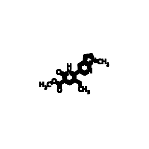 CCc1cc(C(=O)OC)c(=O)[nH]c1-c1cnc2c(ccn2C)c1